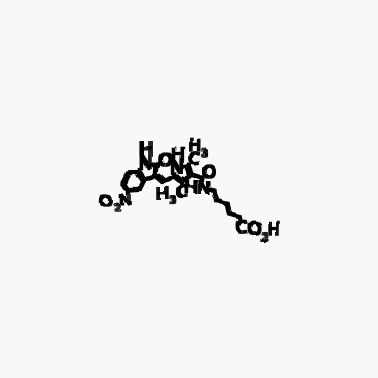 Cc1[nH]c(/C=C2\C(=O)Nc3ccc([N+](=O)[O-])cc32)c(C)c1C(=O)NCCCCCC(=O)O